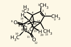 CC1=C(C)C2(C)[C@H]3C(=O)N(C)C(=O)[C@H]3C1(C)C2(C)C